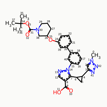 Cn1cc(C2CC2c2c(C(=O)O)cnn2-c2cccc(-c3cccc(OC4CCCN(C(=O)OC(C)(C)C)C4)c3)c2)nn1